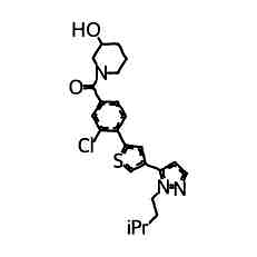 CC(C)CCn1nccc1-c1csc(-c2ccc(C(=O)N3CCCC(O)C3)cc2Cl)c1